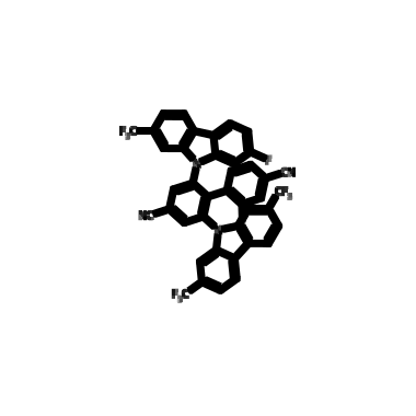 N#Cc1ccc(-c2c(-n3c4cc(F)ccc4c4ccc(C(F)(F)F)cc43)cc(C#N)cc2-n2c3cc(C(F)(F)F)ccc3c3ccc(C(F)(F)F)cc32)c(F)c1